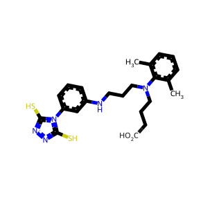 Cc1cccc(C)c1N(CCCNc1cccc(-n2c(S)nnc2S)c1)CCCC(=O)O